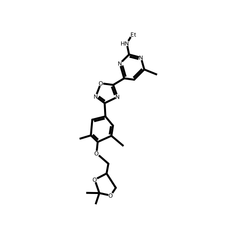 CCNc1nc(C)cc(-c2nc(-c3cc(C)c(OCC4COC(C)(C)O4)c(C)c3)no2)n1